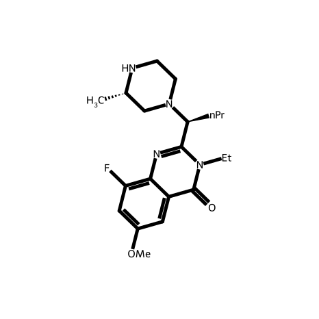 CCC[C@@H](c1nc2c(F)cc(OC)cc2c(=O)n1CC)N1CCN[C@@H](C)C1